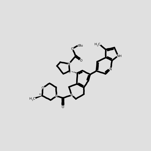 Cc1c[nH]c2ncc(-c3cc4c(c([C@@H]5CCCN5C(=O)OC(C)(C)C)c3)CN(C(=O)N3CCO[C@H](C)C3)CC4)cc12